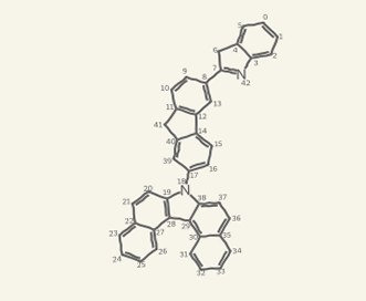 c1ccc2c(c1)CC(c1ccc3c(c1)-c1ccc(-n4c5ccc6ccccc6c5c5c6ccccc6ccc54)cc1C3)=N2